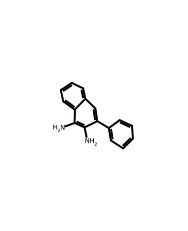 Nc1c(-c2ccccc2)cc2ccccc2c1N